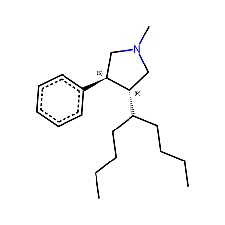 CCCCC(CCCC)[C@H]1CN(C)C[C@@H]1c1ccccc1